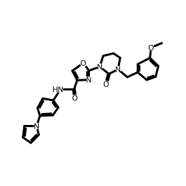 COc1cccc(CN2CCCN(c3nc(C(=O)Nc4ccc(-n5cccc5)cc4)co3)C2=O)c1